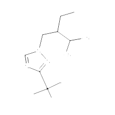 N#CC(C#N)C(Cn1cnc(C(F)(F)C(F)(F)F)n1)CC(F)(F)F